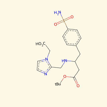 CC(C)(C)OC(=O)CC(Cc1ccc(S(N)(=O)=O)cc1)NCc1nccn1CC(=O)O